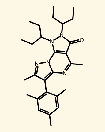 CCC(CC)n1c(=O)c2c(C)nc3c(-c4c(C)cc(C)cc4C)c(C)nn3c2n1C(CC)CC